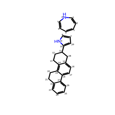 C1=CC=CNC=C1.c1c[nH]c(C2CCc3c(ccc4c3CCc3ccccc3-4)C2)c1